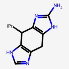 CC(C)C1c2nc(N)[nH]c2Cc2nc[nH]c21